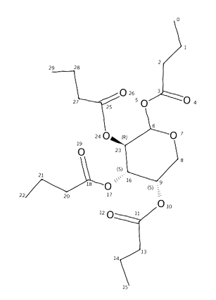 CCCC(=O)OC1OC[C@H](OC(=O)CCC)[C@H](OC(=O)CCC)[C@H]1OC(=O)CCC